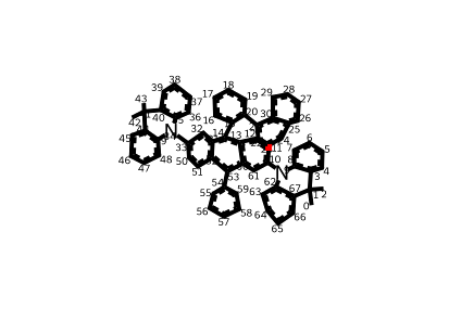 CC1(C)c2ccccc2N(c2ccc3c(-c4ccccc4-c4cccc5ccccc45)c4cc(N5c6ccccc6C(C)(C)c6ccccc65)ccc4c(-c4ccccc4)c3c2)c2ccccc21